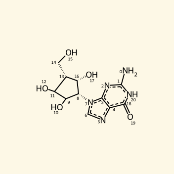 Nc1nc2c(ncn2[C@@H]2C(O)C(O)[C@H](CO)[C@@H]2O)c(=O)[nH]1